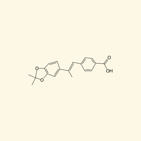 CC(=Cc1ccc(C(=O)O)cc1)c1ccc2c(c1)OC(C)(C)O2